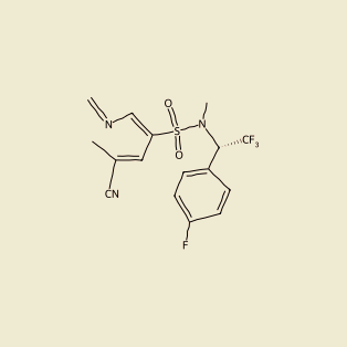 C=N/C=C(\C=C(/C)C#N)S(=O)(=O)N(C)[C@@H](c1ccc(F)cc1)C(F)(F)F